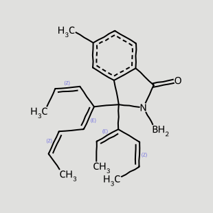 BN1C(=O)c2ccc(C)cc2C1(C(/C=C\C)=C/C)C(/C=C\C)=C/C=C\C